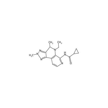 CCN1c2c(ccnc2NC(=O)C2CC2)-c2nn(C)nc2C1C